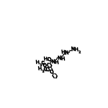 COc1cc(C(O)NCCCNCCCCNCCCN)cc(COC2C=CC=CC2)c1OC